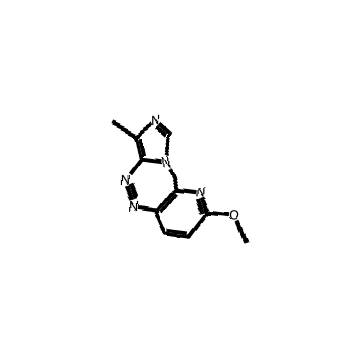 COc1ccc2nnc3c(C)ncn3c2n1